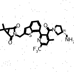 Cc1cc(C(F)(F)F)nc(-c2cccc3cc(CN4C(=O)C5C(C4=O)C5(C)C)sc23)c1C(=O)N1CC[C@H](CN)C1